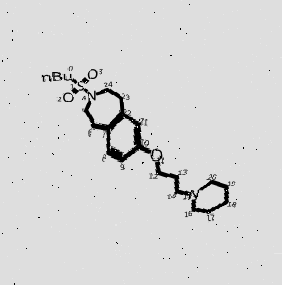 CCCCS(=O)(=O)N1CCc2ccc(OCCCN3CCCCC3)cc2CC1